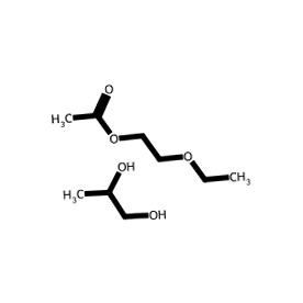 CC(O)CO.CCOCCOC(C)=O